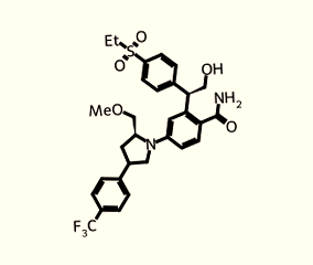 CCS(=O)(=O)c1ccc([C@@H](CO)c2cc(N3CC(c4ccc(C(F)(F)F)cc4)C[C@H]3COC)ccc2C(N)=O)cc1